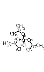 CC(Cl)[O][Zr]([Cl])([O]C(C)Cl)[O]C(C)Cl